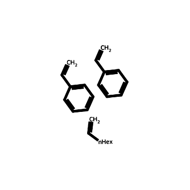 C=CCCCCCC.C=Cc1ccccc1.C=Cc1ccccc1